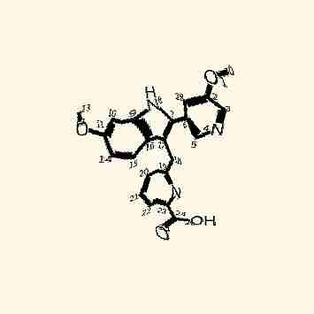 COc1cncc(-c2[nH]c3cc(OC)ccc3c2Cc2cccc(C(=O)O)n2)c1